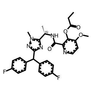 CCC(=O)Oc1c(OC)ccnc1C(=O)N[C@@H](C)c1nc(C(c2ccc(F)cc2)c2ccc(F)cc2)nn1C